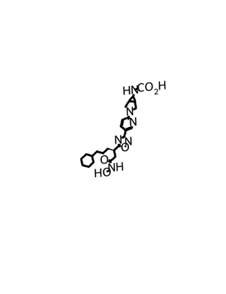 O=C(O)NC1C2CN(c3ccc(-c4noc([C@H](CCCC5CCCCC5)CC(=O)NO)n4)cn3)CC21